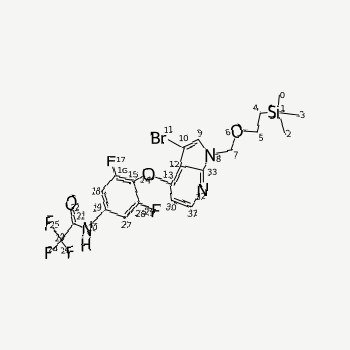 C[Si](C)(C)CCOCn1cc(Br)c2c(Oc3c(F)cc(NC(=O)C(F)(F)F)cc3F)ccnc21